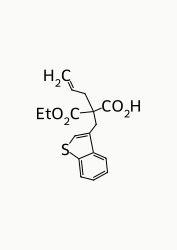 C=CCC(Cc1csc2ccccc12)(C(=O)O)C(=O)OCC